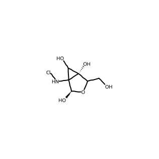 OCC1O[C@@H](O)C2(NCl)C(O)[C@@]12O